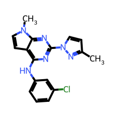 Cc1ccn(-c2nc(Nc3cccc(Cl)c3)c3ccn(C)c3n2)n1